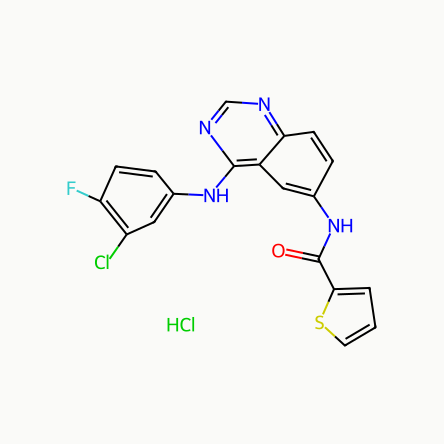 Cl.O=C(Nc1ccc2ncnc(Nc3ccc(F)c(Cl)c3)c2c1)c1cccs1